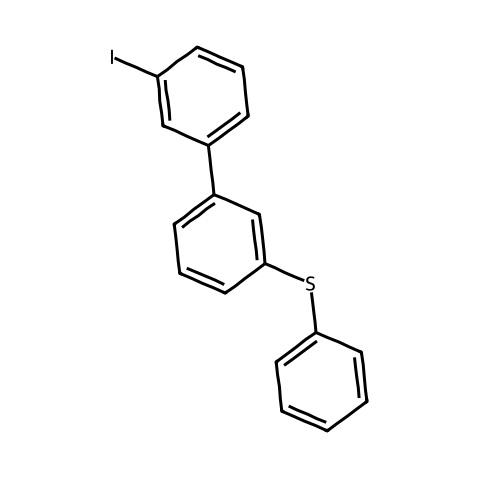 Ic1cccc(-c2cccc(Sc3ccccc3)c2)c1